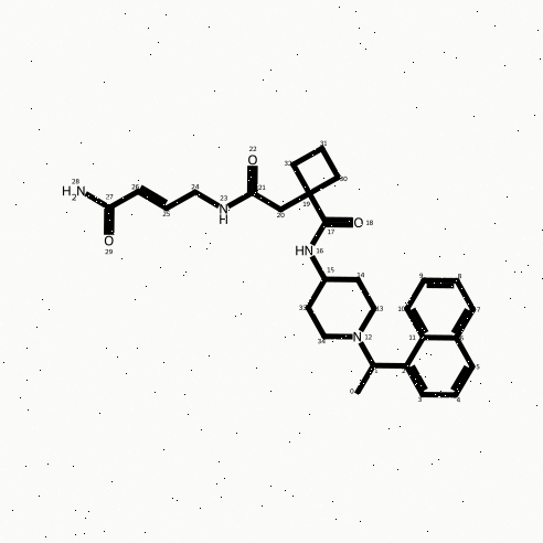 CC(c1cccc2ccccc12)N1CCC(NC(=O)C2(CC(=O)NCC=CC(N)=O)CCC2)CC1